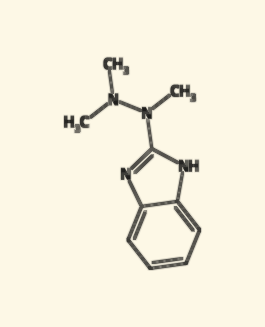 CN(C)N(C)c1nc2ccccc2[nH]1